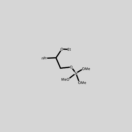 CCCC(CO[Si](OC)(OC)OC)OCC